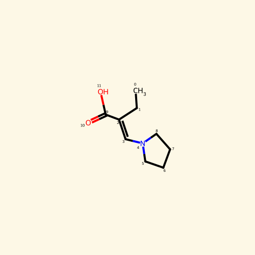 CC/C(=C\N1CCCC1)C(=O)O